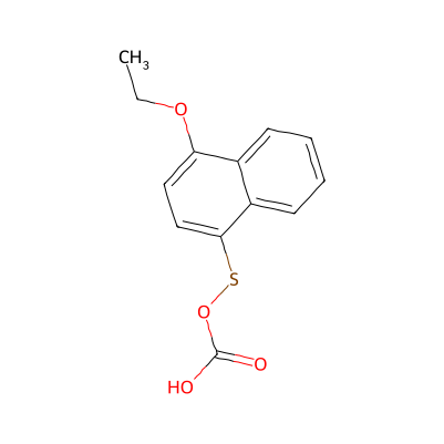 CCOc1ccc(SOC(=O)O)c2ccccc12